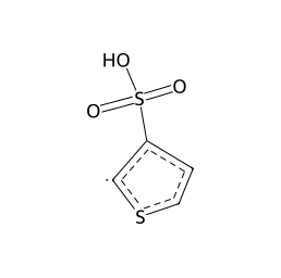 O=S(=O)(O)c1[c]scc1